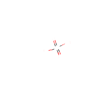 [Cr+6].[O-2].[O-2].[O-2].[O]=[Cr](=[O])([OH])[OH]